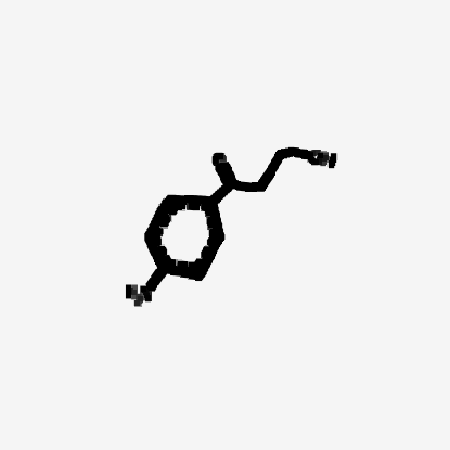 Nc1ccc(C(=O)CCO)cc1